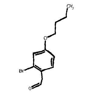 CCCCOc1ccc(C=O)c(Br)c1